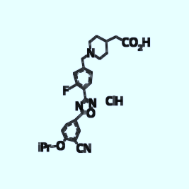 CC(C)Oc1ccc(-c2nc(-c3ccc(CN4CCC(CC(=O)O)CC4)cc3F)no2)cc1C#N.Cl